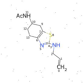 C=CCNc1nc2c(s1)CC(NC(C)=O)CC2